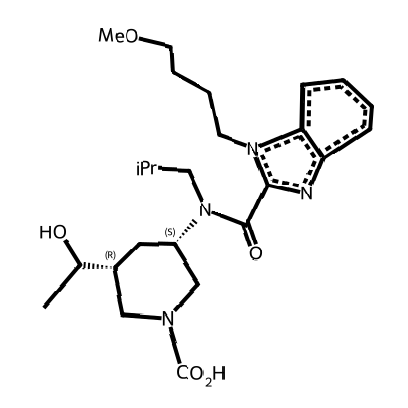 COCCCCn1c(C(=O)N(CC(C)C)[C@H]2C[C@@H](C(C)O)CN(C(=O)O)C2)nc2ccccc21